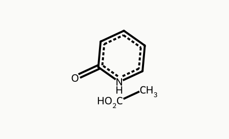 CC(=O)O.O=c1cccc[nH]1